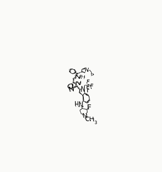 CN1CC[C@@H](Nc2cccc3c2cc(-c2noc(CNC(=O)c4ccn(CC5CC5)c4)n2)n3CC(F)(F)F)[C@@H](F)C1